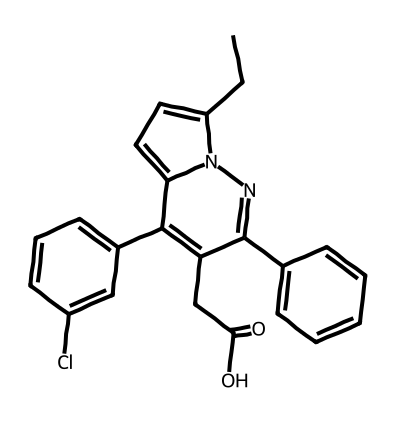 CCc1ccc2c(-c3cccc(Cl)c3)c(CC(=O)O)c(-c3ccccc3)nn12